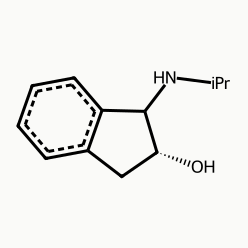 CC(C)NC1c2ccccc2C[C@H]1O